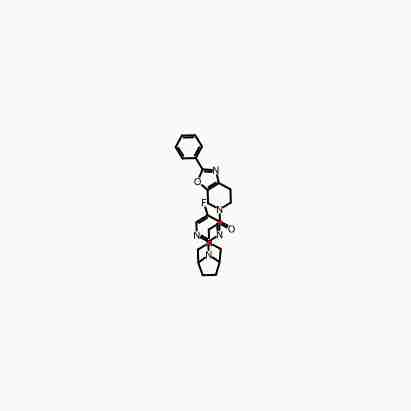 O=C(CN1CC2CCC(C1)N2c1ncc(F)cn1)N1CCc2nc(-c3ccccc3)oc2C1